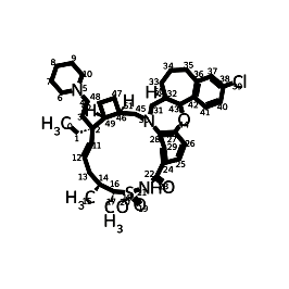 CC[C@@]1(CCN2CCCCC2)/C=C/C[C@H](C)[C@@H](C)S(=O)(=O)NC(=O)c2ccc3c(c2)N(C[C@H]2CCCc4cc(Cl)ccc4C2O3)C[C@@H]2CC[C@H]21